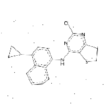 Clc1nc2c(c(Nc3ccc(C4CC4)c4ccccc34)n1)SCC2